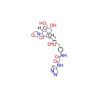 C[C@]12CC[C@@H](O)[C@@](C)(CO)C1CC(N1CCOCC1)C1(CO1)C2/C=C/C1=CC(Cc2ccc(NC(=O)CC(=O)NC3C4CN5CC3CN(C4)C5)cc2)OC1=O